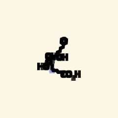 O=C(O)CCC/C=C\C[C@@H]1[C@@H](CC[C@@H](O)CCCCc2ccccc2)[C@H](O)C[C@@H]1O